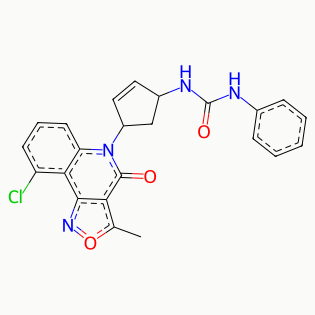 Cc1onc2c1c(=O)n(C1C=CC(NC(=O)Nc3ccccc3)C1)c1cccc(Cl)c21